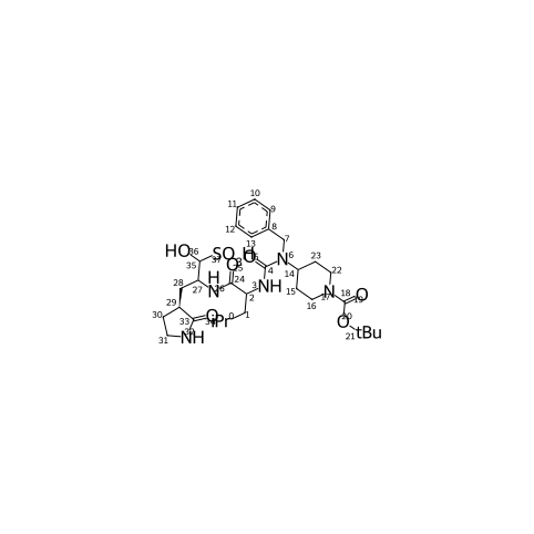 CC(C)CC(NC(=O)N(Cc1ccccc1)C1CCN(C(=O)OC(C)(C)C)CC1)C(=O)NC(C[C@@H]1CCNC1=O)C(O)S(=O)(=O)O